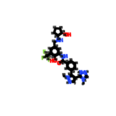 Cn1cnnc1-c1cnn(C)c1-c1cccc(C(=O)Nc2cc(CNC3CCC[C@@H]3O)cc(C(F)(F)F)c2O)c1